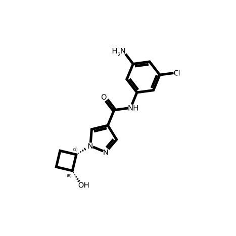 Nc1cc(Cl)cc(NC(=O)c2cnn([C@H]3CC[C@H]3O)c2)c1